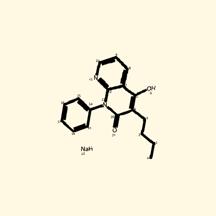 CCCCc1c(O)c2cccnc2n(-c2ccccc2)c1=O.[NaH]